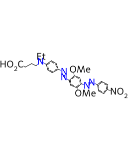 CCN(CCCC(=O)O)c1ccc(N=Nc2cc(OC)c(N=Nc3ccc([N+](=O)[O-])cc3)cc2OC)cc1